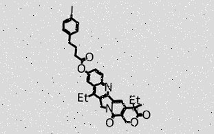 CCc1c2c(nc3ccc(OC(=O)CCCc4ccc(I)cc4)cc13)-c1cc3c(c(=O)n1C2)COC(=O)[C@]3(C)CC